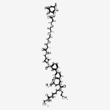 CCCN(CCCNC(=O)NCC)C(=O)C1=Cc2ccc(-c3cccc([S+]([O-])N4CC(CNC(=O)CCOCCOCCOCCC(=O)Oc5c(F)c(F)cc(F)c5F)C4)c3)cc2N=C(N)C1